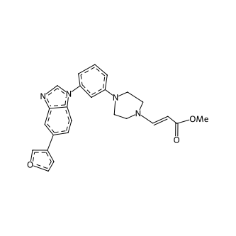 COC(=O)/C=C/N1CCN(c2cccc(-n3cnc4cc(-c5ccoc5)ccc43)c2)CC1